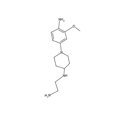 COc1cc(N2CCC(NCCN)CC2)ccc1N